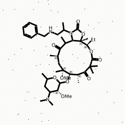 CC[C@H]1OC(=O)C(C)(C)C(=O)[C@H](C)[C@@H](OC2OC(C)CC(N(C)C)[C@H]2OC)[C@](C)(OC)C[C@@H](C)C(=O)C(C)C2N(C(C)CNCc3ccccc3)C(=O)O[C@@]21C